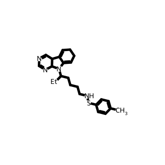 CCC(CCCCNSc1ccc(C)cc1)N1C2=CCCC=C2C2C=NC=NC21